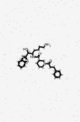 NCCCCC(NC(=O)[C@@H]1CCCN(C(=O)CCc2ccccc2)C1)C(O)c1nc2ccccc2s1